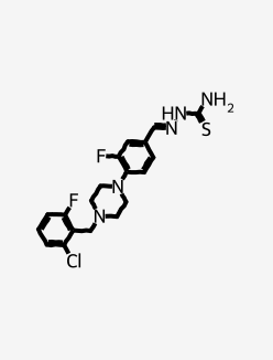 NC(=S)N/N=C/c1ccc(N2CCN(Cc3c(F)cccc3Cl)CC2)c(F)c1